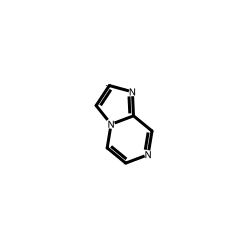 [c]1cn2ccncc2n1